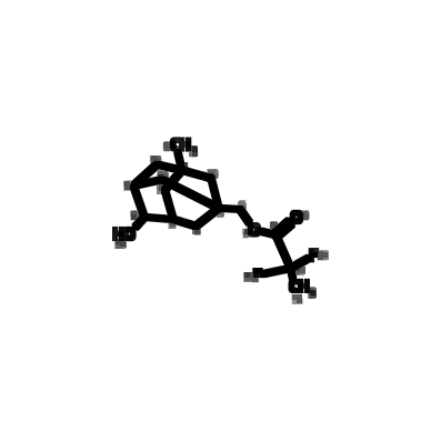 CC12CC3CC(COC(=O)C(C)(F)F)(CC(C1)C3O)C2